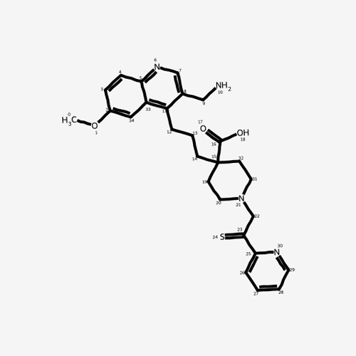 COc1ccc2ncc(CN)c(CCCC3(C(=O)O)CCN(CC(=S)c4ccccn4)CC3)c2c1